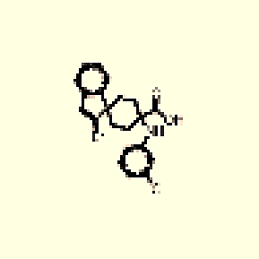 O=C(O)C1(Nc2cccc(Cl)c2)CCC2(CC1)C(Br)=Cc1ccccc12